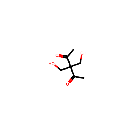 CC(=O)C(CO)(CO)C(C)=O